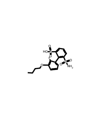 CCCCOc1cccc(-c2c(S(N)(=O)=O)cccc2S(=O)(=O)O)c1F